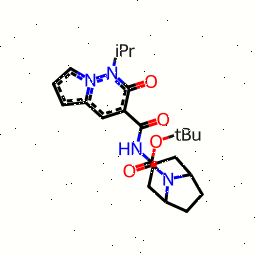 CC(C)n1c(=O)c(C(=O)NC2CC3CCC(C2)N3C(=O)OC(C)(C)C)cc2cccn21